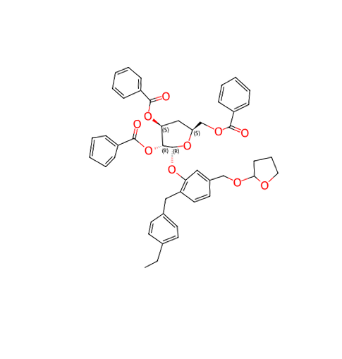 CCc1ccc(Cc2ccc(COC3CCCO3)cc2O[C@H]2O[C@H](COC(=O)c3ccccc3)C[C@H](OC(=O)c3ccccc3)[C@H]2OC(=O)c2ccccc2)cc1